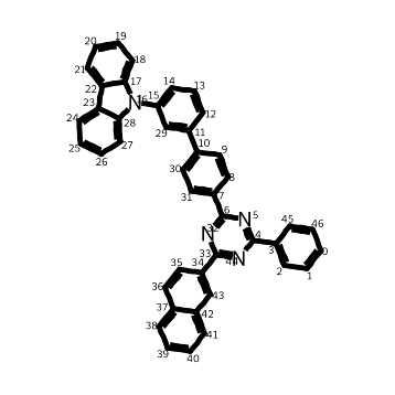 c1ccc(-c2nc(-c3ccc(-c4cccc(-n5c6ccccc6c6ccccc65)c4)cc3)nc(-c3ccc4ccccc4c3)n2)cc1